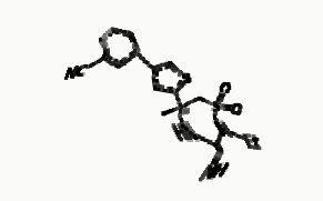 CCN1C(=N)N[C@](C)(c2cc(-c3cccc(C#N)c3)cs2)CS1(=O)=O